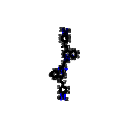 CN(C)c1ccc(/C=C/c2cc[n+](CCCC[n+]3ccc(/C=C/c4ccc(N(C)C)cc4)c4ccccc43)c3ccccc23)cc1